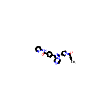 CC#CC(=O)N1CC[C@@H](c2nc(-c3ccc(C(=O)Nc4ccccn4)cc3)c3cnccn23)C1